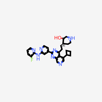 O[C@H]1CNCC[C@H]1CCc1nc(-c2ccnc(Nc3ncccc3F)c2)nc2cncc(C3CCC3)c12